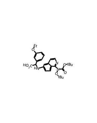 CCOc1cccc(C(Nc2ccc3c(N(OC(C)(C)C)C(=O)OC(C)(C)C)nccc3c2)C(=O)O)c1